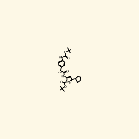 C[C@@H](C(=O)Nc1cc(C2CCCC2)nn1C(=O)OC(C)(C)C)c1ccc(NC(=O)OC(C)(C)C)cc1